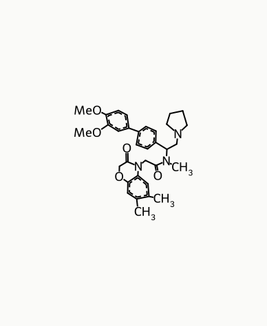 COc1ccc(-c2ccc(C(CN3CCCC3)N(C)C(=O)CN3C(=O)COc4cc(C)c(C)cc43)cc2)cc1OC